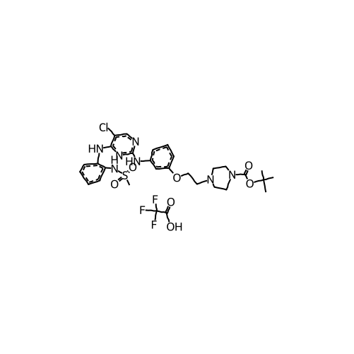 CC(C)(C)OC(=O)N1CCN(CCOc2cccc(Nc3ncc(Cl)c(Nc4ccccc4NS(C)(=O)=O)n3)c2)CC1.O=C(O)C(F)(F)F